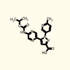 Cc1ccc(-n2nc(C(=O)O)cc2-c2cnc(NC(=O)OC(C)C)cn2)cn1